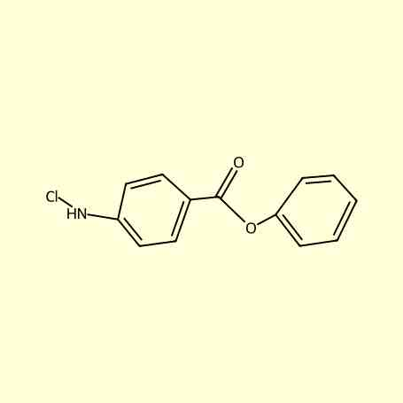 O=C(Oc1ccccc1)c1ccc(NCl)cc1